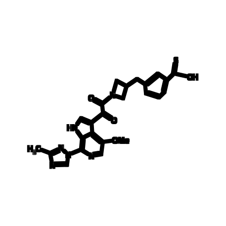 COc1cnc(-n2cnc(C)n2)c2[nH]cc(C(=O)C(=O)N3CC(Cc4cccc(C(O)=S)c4)C3)c12